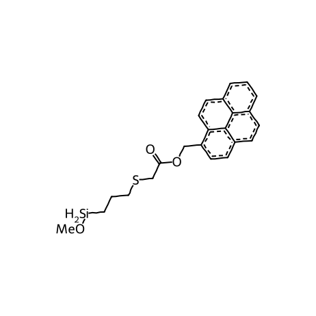 CO[SiH2]CCCSCC(=O)OCc1ccc2ccc3cccc4ccc1c2c34